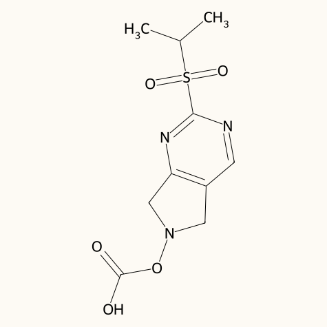 CC(C)S(=O)(=O)c1ncc2c(n1)CN(OC(=O)O)C2